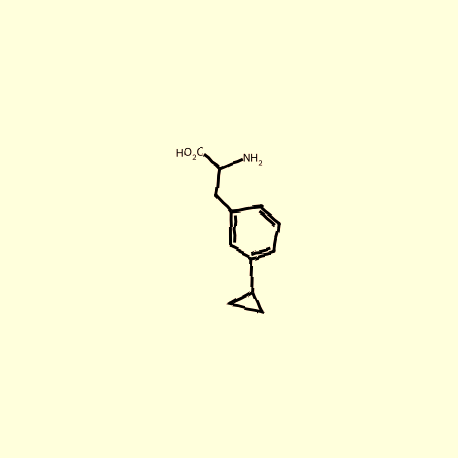 NC(Cc1cccc(C2CC2)c1)C(=O)O